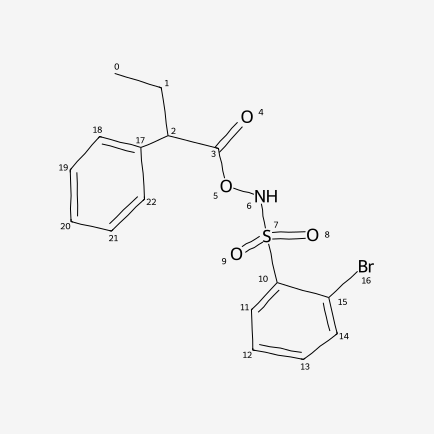 CCC(C(=O)ONS(=O)(=O)c1ccccc1Br)c1ccccc1